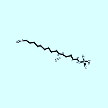 CCCCCCCCCCCCCCCCCCCCCCCCCOP(=O)([O-])[O-].[Zn+2]